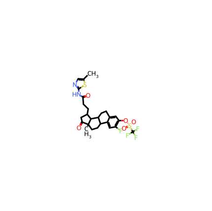 Cc1cnc(NC(=O)CCC2CC(=O)C3(C)CCC4c5cc(F)c(OS(=O)(=O)C(F)(F)F)cc5CCC4C23)s1